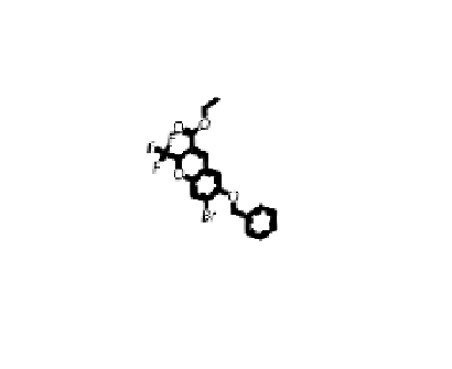 CCOC(=O)C1=Cc2cc(OCc3ccccc3)c(Br)cc2OC1C(F)(F)F